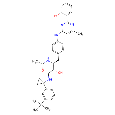 CC(=O)N[C@@H](Cc1ccc(Nc2cc(C)nc(-c3ccccc3O)n2)cc1)[C@H](O)CNC1(c2cccc(C(C)(C)C)c2)CC1